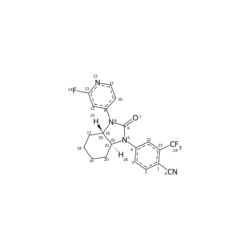 N#Cc1ccc(N2C(=O)N(c3ccnc(F)c3)[C@H]3CCCC[C@@H]32)cc1C(F)(F)F